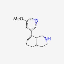 COc1cncc(C2=CCCC3CCNCC23)c1